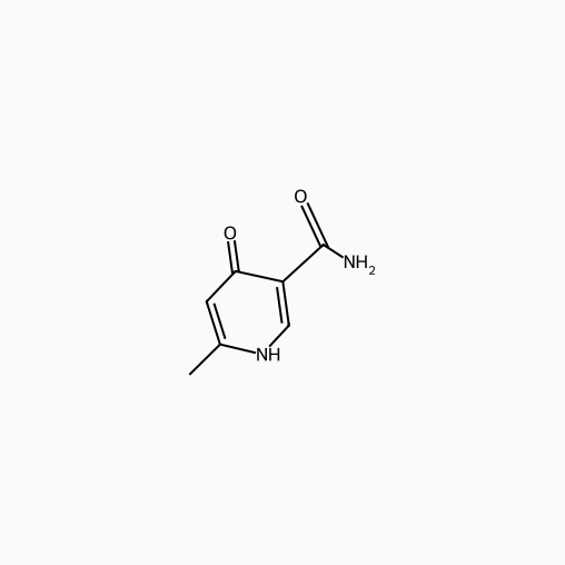 Cc1cc(=O)c(C(N)=O)c[nH]1